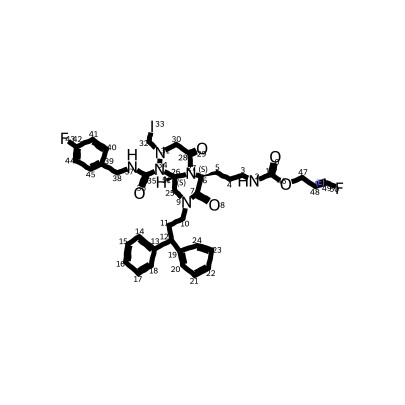 O=C(NCCC[C@H]1C(=O)N(CCC(c2ccccc2)c2ccccc2)C[C@H]2N1C(=O)CN(CI)N2C(=O)NCc1ccc(F)cc1)OC/C=C/F